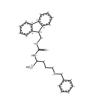 O=C(NC(CCCOCc1ccccc1)C(=O)O)OCC1c2ccccc2-c2ccccc21